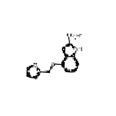 CCOC(=O)c1cc2c(OCc3ccco3)cccc2[nH]1